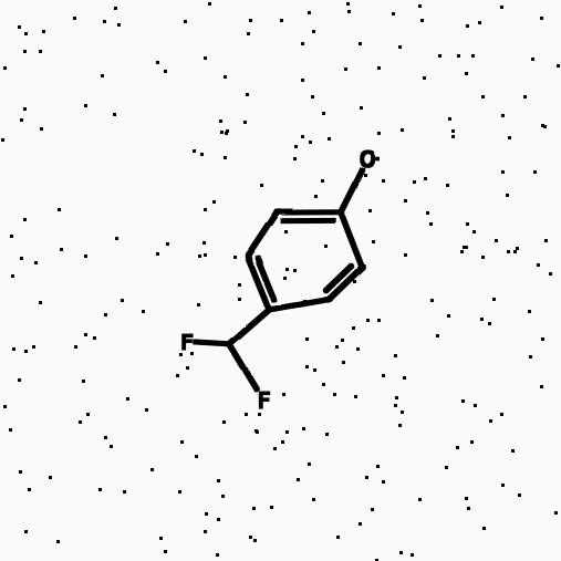 [O]c1ccc(C(F)F)cc1